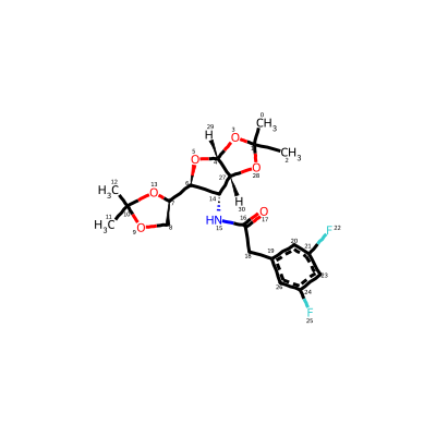 CC1(C)O[C@H]2O[C@H]([C@H]3COC(C)(C)O3)[C@@H](NC(=O)Cc3cc(F)cc(F)c3)[C@H]2O1